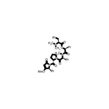 COC1=CC(=O)N(C(=O)[C@@H]2CCCN2C(=O)[C@H](C(C)C)N(C)C(=O)[C@@H](OC(=O)[C@H](CC(C)C)N(C)C)C(C)C)[C@H]1C(C)C